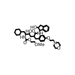 COCCOC(=O)NC(CC1CCCCC1)C(O)CC(Cc1ccc(OCCN2CCOCC2)cc1)C(=O)NC1c2ccccc2CC1O